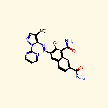 [C-]#[N+]c1cnn(-c2ncccn2)c1/N=N/c1cc2ccc(C(N)=O)cc2c(C(N)=O)c1O